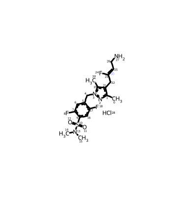 Cc1nn(Cc2cc(F)c(S(=O)(=O)N(C)C)cc2F)c(C)c1C/C(F)=C/CN.Cl